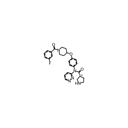 O=C(c1cccc(F)c1)N1CCC(Oc2ccc(N(C(=O)[C@H]3CCNC3)c3cccnn3)cc2)CC1